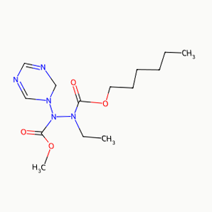 CCCCCCOC(=O)N(CC)N(C(=O)OC)N1C=NC=NC1